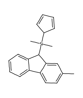 Cc1ccc2c(c1)C([Si](C)(C)C1C=CC=C1)c1ccccc1-2